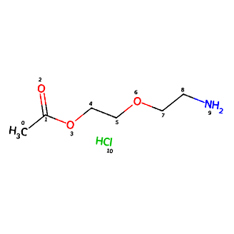 CC(=O)OCCOCCN.Cl